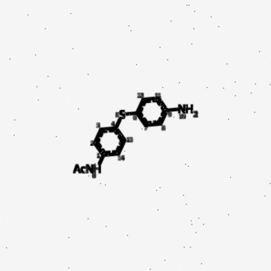 CC(=O)Nc1ccc(Sc2ccc(N)cc2)cc1